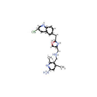 Cc1cc(N)nc(C)c1CNCc1coc(Cc2ccc3ncc(Cl)cc3c2)n1